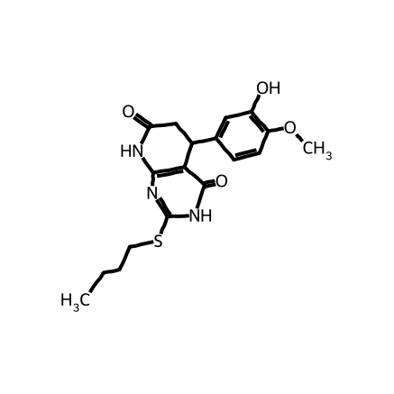 CCCCSc1nc2c(c(=O)[nH]1)C(c1ccc(OC)c(O)c1)CC(=O)N2